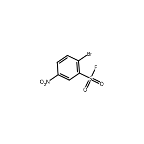 O=[N+]([O-])c1ccc(Br)c(S(=O)(=O)F)c1